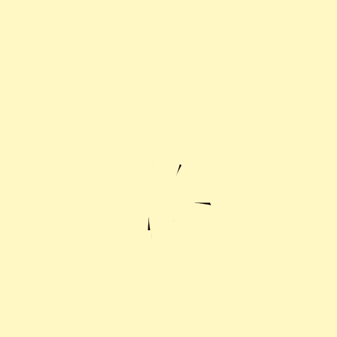 CC[C@H]1O[C@@H]2c3sccc3CO[C@H]2[C@H]1OCc1ccccc1C